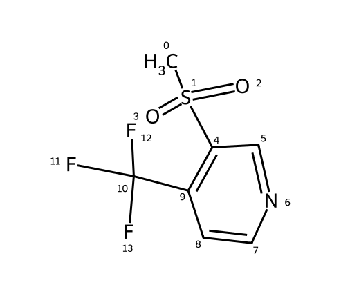 CS(=O)(=O)c1cnccc1C(F)(F)F